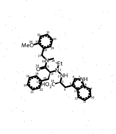 CCN(N[C@@H](Cc1c[nH]c2ccccc12)C(=O)O)[C@@H](Cc1ccccc1)C(=O)N(C)Cc1ccccc1OC